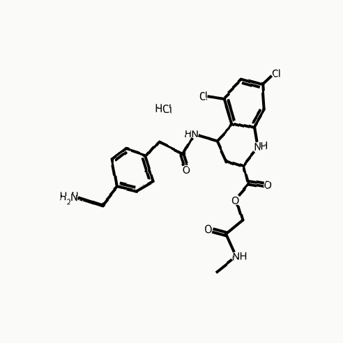 CNC(=O)COC(=O)C1CC(NC(=O)Cc2ccc(CN)cc2)c2c(Cl)cc(Cl)cc2N1.Cl